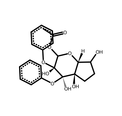 CC(=O)OC1O[C@@H]2C(O)CC[C@]2(O)[C@@](O)(Oc2ccccc2)[C@]1(O)Oc1ccccc1